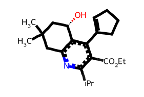 CCOC(=O)c1c(C(C)C)nc2c(c1C1=CCCC1)[C@@H](O)CC(C)(C)C2